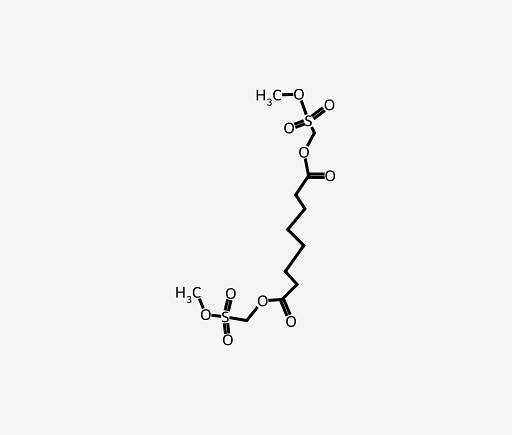 COS(=O)(=O)COC(=O)CCCCCCC(=O)OCS(=O)(=O)OC